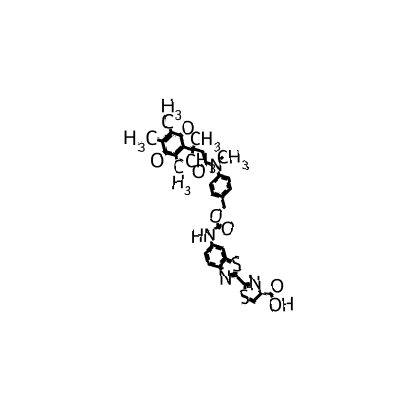 CC1=C(C)C(=O)C(C(C)(C)CC(=O)N(C)c2ccc(COC(=O)Nc3ccc4nc(C5=N[C@@H](C(=O)O)CS5)sc4c3)cc2)=C(C)C1=O